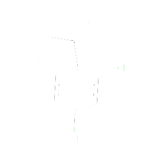 O=C1CCc2cc(Cl)cc(Cl)c21